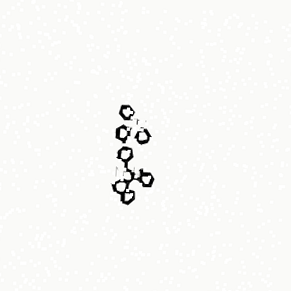 O=P(c1ccccc1)(c1ccccc1)c1cccc(-c2ccc(-c3nc4ccc5ccccc5c4c4c3oc3ccccc34)cc2)c1